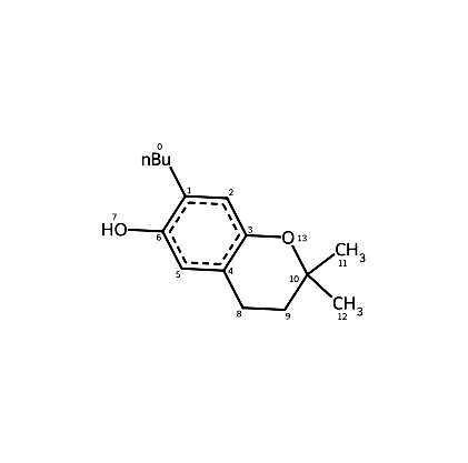 CCCCc1cc2c(cc1O)CCC(C)(C)O2